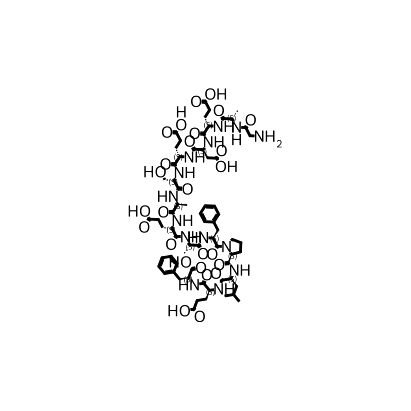 CC(C)C[C@H](NC(=O)[C@@H]1CCCN1C(=O)[C@H](Cc1ccccc1)NC(=O)[C@H](C)NC(=O)[C@H](CCC(=O)O)NC(=O)[C@H](C)NC(=O)[C@H](CO)NC(=O)[C@H](CCC(=O)O)NC(=O)[C@H](CC(=O)O)NC(=O)[C@H](CCC(=O)O)NC(=O)[C@H](C)NC(=O)CN)C(=O)N[C@@H](CCC(=O)O)C(=O)N[C@@H](Cc1ccccc1)C(=O)O